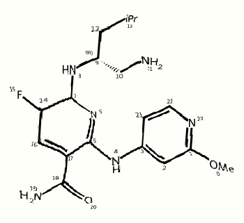 COc1cc(NC2=NC(N[C@@H](CN)CC(C)C)C(F)C=C2C(N)=O)ccn1